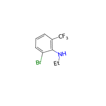 CCNc1c(Br)cccc1C(F)(F)F